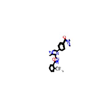 Cc1ncc(-c2ccc(C(=O)N(C)C)cc2)nc1-c1nnc(-c2ccccc2C(F)(F)F)o1